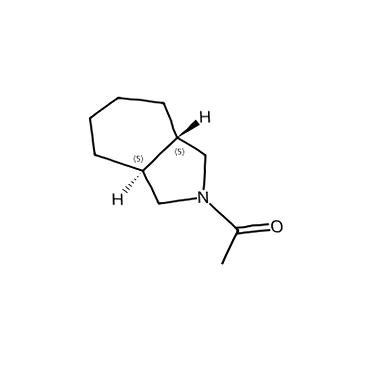 CC(=O)N1C[C@H]2CCCC[C@@H]2C1